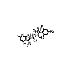 [2H]C1([2H])c2c(F)cc(Br)cc2OCC1NC(=O)c1sc2nc(C)ccc2c1N